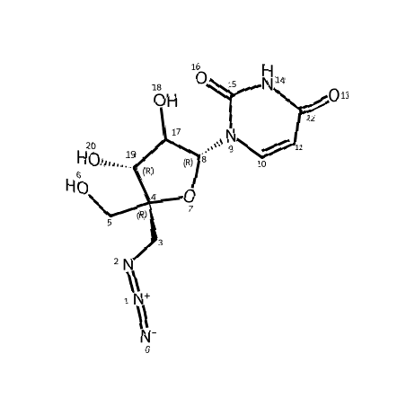 [N-]=[N+]=NC[C@]1(CO)O[C@@H](n2ccc(=O)[nH]c2=O)C(O)[C@H]1O